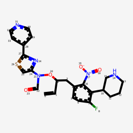 C=CC(Cc1ccc(F)c(C2CCCNC2)c1[N+](=O)[O-])ON(C=O)c1csc(-c2ccncc2)n1